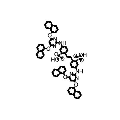 O=S(=O)(O)c1cc(Nc2nc(Oc3cccc4ccccc34)cc(Oc3cccc4ccccc34)n2)ccc1C=Cc1ccc(Nc2nc(Oc3cccc4ccccc34)cc(Oc3cccc4ccccc34)n2)cc1S(=O)(=O)O